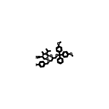 COc1ccc(C(OCC(COCc2ccc(I)cc2)O[P@](OCCC#N)N(C(C)C)C(C)C)(c2ccccc2)c2ccc(OC)cc2)cc1